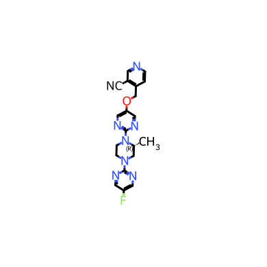 C[C@@H]1CN(c2ncc(F)cn2)CCN1c1ncc(OCc2ccncc2C#N)cn1